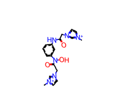 C[n+]1ccn(CC(=O)Nc2cccc(N(O)C(=O)Cn3cc[n+](C)c3)c2)c1